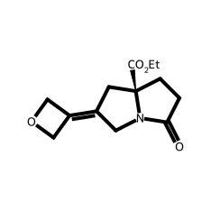 CCOC(=O)[C@@]12CCC(=O)N1CC(=C1COC1)C2